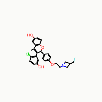 CC1=C(c2cc(O)ccc2Cl)C(c2ccc(OCCN3CC(CF)C3)cc2)Oc2ccc(O)cc21